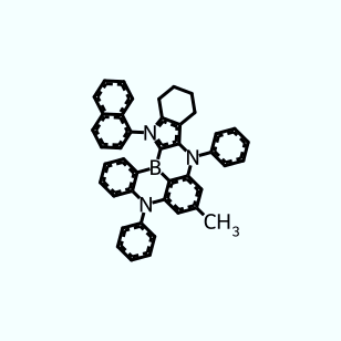 Cc1cc2c3c(c1)N(c1ccccc1)c1c4c(n(-c5cccc6ccccc56)c1B3c1ccccc1N2c1ccccc1)CCCC4